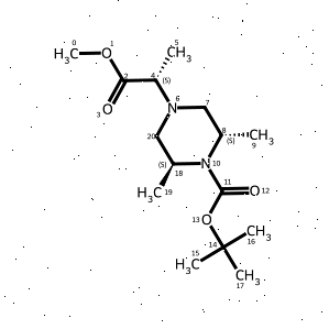 COC(=O)[C@H](C)N1C[C@H](C)N(C(=O)OC(C)(C)C)[C@@H](C)C1